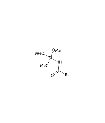 CCC(=O)N[Si](OC)(OC)OC